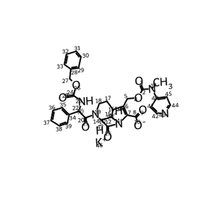 CN(C(=O)OCC1=C(C(=O)[O-])N2C(=O)[C@@H]3[C@H]2C1CCN3C(=O)[C@H](NC(=O)OCc1ccccc1)c1ccccc1)c1ccncc1.[K+]